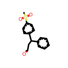 CS(=O)(=O)c1ccc(C(CC=O)c2ccccc2)cc1